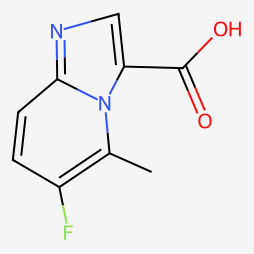 Cc1c(F)ccc2ncc(C(=O)O)n12